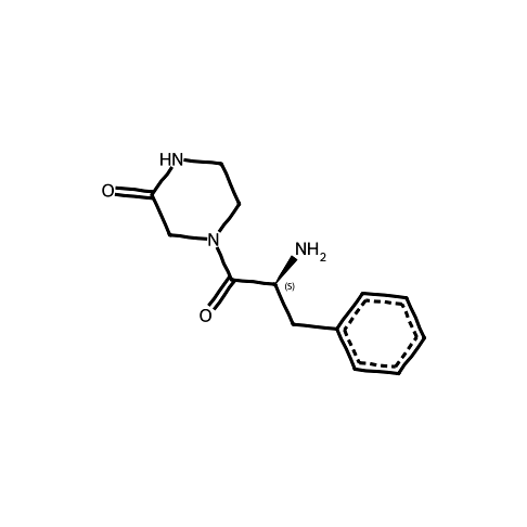 N[C@@H](Cc1ccccc1)C(=O)N1CCNC(=O)C1